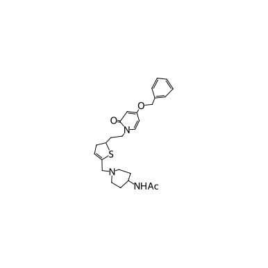 CC(=O)NC1CCN(CC2=CCC(CCn3ccc(OCc4ccccc4)cc3=O)S2)CC1